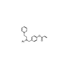 C=CC(=O)Oc1ccc(CN(CC[n+]2ccccc2)C(C)=O)cc1